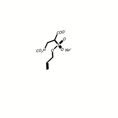 C=CCOS(=O)(=O)C(CC(=O)O)C(=O)[O-].[Na+]